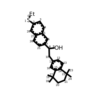 CCSc1ccc2cc(C(O)Cc3ccc4c(c3)C(C)(C)CCC4(C)C)ccc2c1